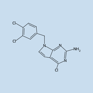 Nc1nc(Cl)c2ccn(Cc3ccc(Cl)c(Cl)c3)c2n1